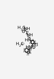 CNC(=O)CCNCCNc1ccc(Cl)c(C(=O)NCC23CCCC(CCC2)C3)c1.[CH2]